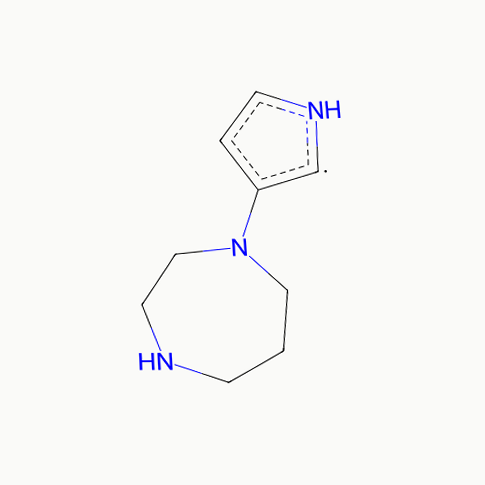 [c]1[nH]ccc1N1CCCNCC1